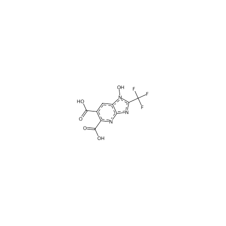 O=C(O)c1cc2c(nc1C(=O)O)nc(C(F)(F)F)n2O